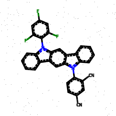 N#Cc1ccc(-n2c3ccccc3c3cc4c(cc32)c2ccccc2n4-c2c(F)cc(F)cc2F)c(C#N)c1